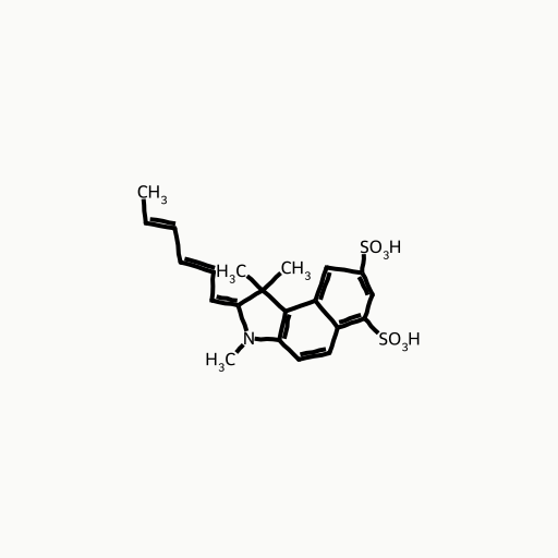 C/C=C/C=C/C=C1/N(C)c2ccc3c(S(=O)(=O)O)cc(S(=O)(=O)O)cc3c2C1(C)C